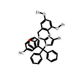 CCOc1cc(CN(c2ccc(C#N)cc2)c2nc(Br)cn2C(c2ccccc2)(c2ccccc2)c2ccccc2)c(F)c(OC(C)C)c1